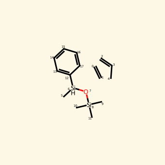 C=C.C=CC.C[SiH](O[Si](C)(C)C)c1ccccc1